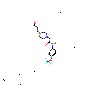 O=[C]CCN1CCN(CC(=O)Nc2ccc(OC(F)(F)F)cc2)CC1